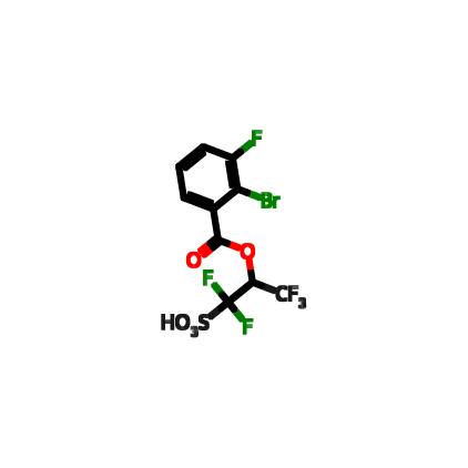 O=C(OC(C(F)(F)F)C(F)(F)S(=O)(=O)O)c1cccc(F)c1Br